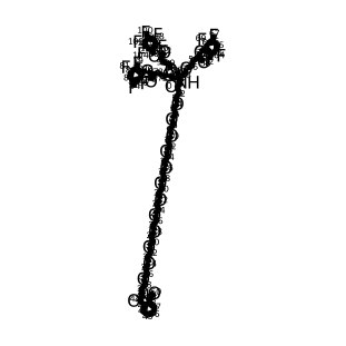 O=C(CCOCCOCCOCCOCCOCCOCCOCCOCCOCCOCCOCCOCCN1C(=O)c2ccccc2C1=O)NC(COCCC(=O)Oc1c(F)c(F)cc(F)c1F)(COCCC(=O)Oc1c(F)c(F)cc(F)c1F)COCCC(=O)Oc1c(F)c(F)c(F)c(F)c1F